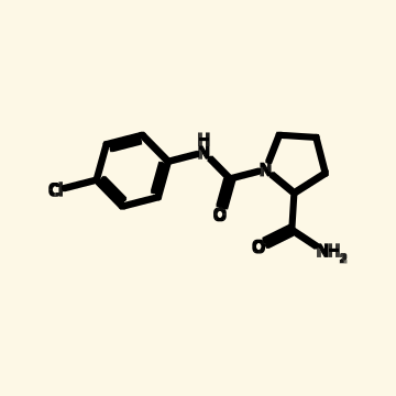 NC(=O)C1CCCN1C(=O)Nc1ccc(Cl)cc1